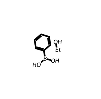 CCO.OB(O)c1ccccc1